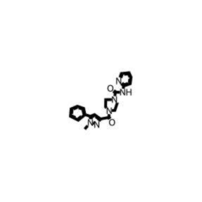 Cn1nc(C(=O)N2CCN(C(=O)Nc3ccccn3)CC2)cc1-c1ccccc1